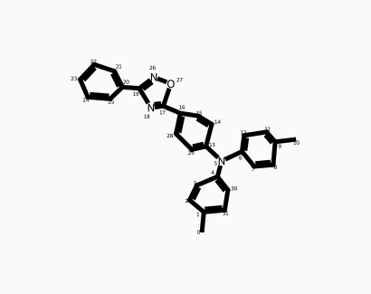 Cc1ccc(N(c2ccc(C)cc2)c2ccc(-c3nc(-c4ccccc4)no3)cc2)cc1